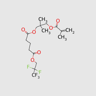 C=C(C)C(=O)OCC(C)(C)COC(=O)CCCC(=O)OCC(F)(F)C(F)(F)F